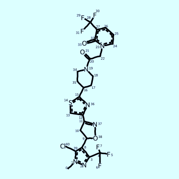 Cn1nc(C(F)(F)F)c(C2CC(c3csc(C4CCN(C(=O)Cn5cccc(C(F)(F)F)c5=O)CC4)n3)=NO2)c1Cl